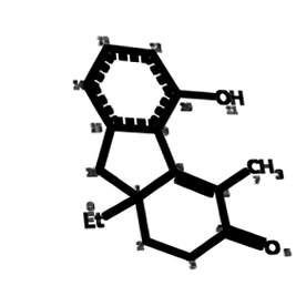 CCC12CCC(=O)C(C)=C1c1c(O)cccc1C2